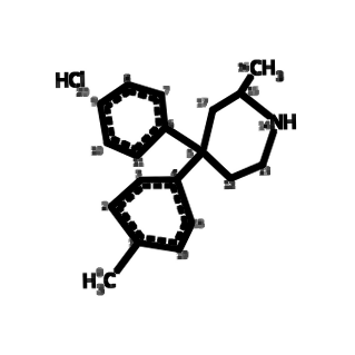 Cc1ccc(C2(c3ccccc3)CCNC(C)C2)cc1.Cl